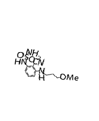 COCCCNc1cccc(NS(N)(=O)=O)c1C#N